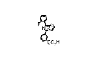 O=C(O)c1cccc(-c2nc(-c3ccccc3F)c3sccn23)c1